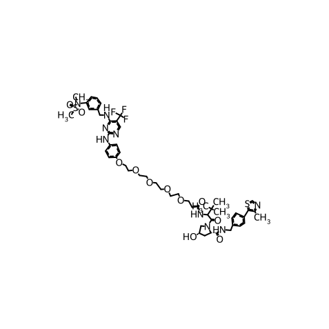 Cc1ncsc1-c1ccc(CNC(=O)[C@@H]2C[C@@H](O)CN2C(=O)C(NC(=O)CCOCCOCCOCCOCCOc2ccc(Nc3ncc(C(F)(F)F)c(NCc4cccc(N(C)S(C)(=O)=O)c4)n3)cc2)C(C)(C)C)cc1